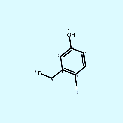 Oc1ccc(F)c(CF)c1